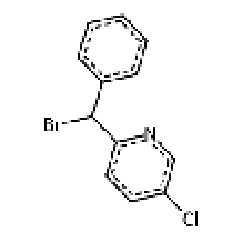 Clc1ccc(C(Br)c2ccccc2)nc1